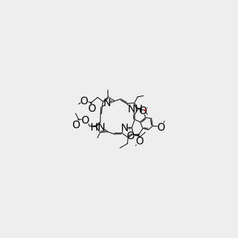 CCC1=C(CC)c2nc1cc1[nH]c(cc3nc(cc4[nH]c(c(CC)c4CC)c2-c2c(OC)cc(OC)cc2C(=O)OC)C(C)=C3CC(=O)OC)c(COC(C)=O)c1C